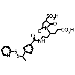 CC(SSc1ccccn1)c1ccc(C(=O)NCCC(CCC(=O)O)N2C(=O)CC(S(=O)(=O)O)C2=O)cc1